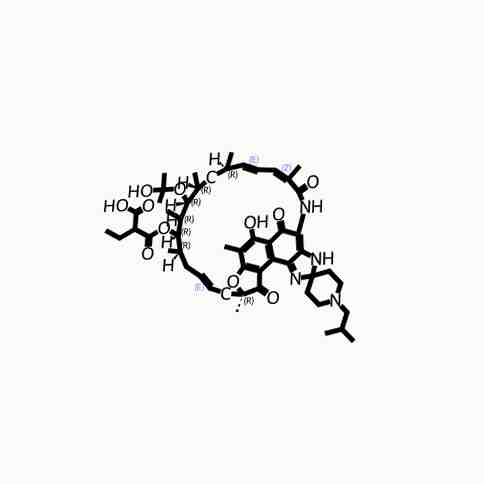 CCC(C(=O)O)C(=O)O[C@H]1[C@H](C)[C@H](OC(C)(C)O)[C@H](C)C[C@@H](C)/C=C/C=C(/C)C(=O)NC2=C3NC4(CCN(CC(C)C)CC4)N=C3c3c(c(O)c(C)c4c3C(=O)[C@@](C)(C/C=C/C[C@H]1C)O4)C2=O